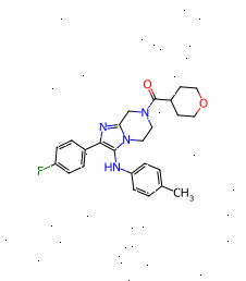 Cc1ccc(Nc2c(-c3ccc(F)cc3)nc3n2CCN(C(=O)C2CCOCC2)C3)cc1